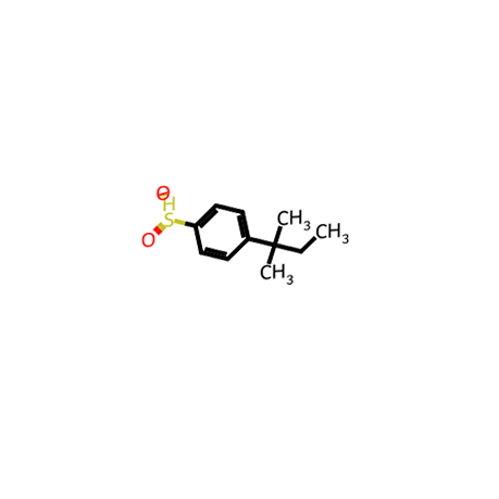 CCC(C)(C)c1ccc([SH](=O)=O)cc1